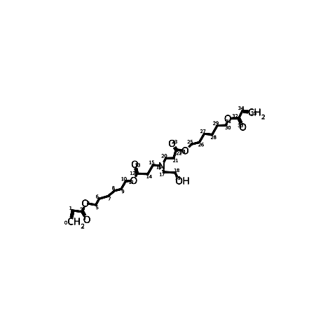 C=CC(=O)OCCCCCCOC(=O)CCN(CCO)CCC(=O)OCCCCCCOC(=O)C=C